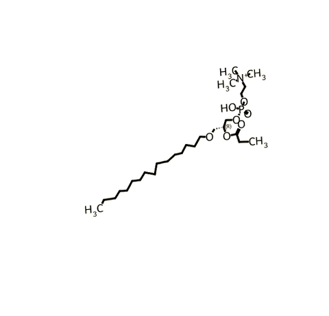 CCCCCCCCCCCCCCCCOC[C@H](COP(=O)(O)OCC[N+](C)(C)C)OC(=O)CC